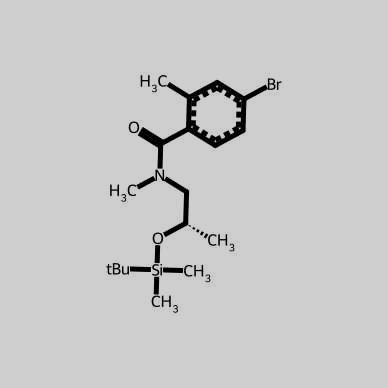 Cc1cc(Br)ccc1C(=O)N(C)C[C@H](C)O[Si](C)(C)C(C)(C)C